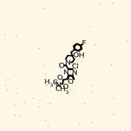 CN(C)C(=O)C(=O)c1occ2nc(Cl)c(C(=O)N3CCC(O)(Cc4ccc(F)cc4)CC3)nc12